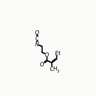 CCC=C(C)C(=O)OCCN=C=O